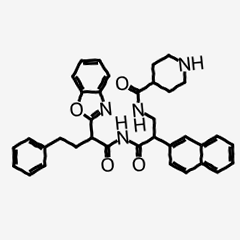 O=C(NCC(C(=O)NC(=O)C(CCc1ccccc1)c1nc2ccccc2o1)c1ccc2ccccc2c1)C1CCNCC1